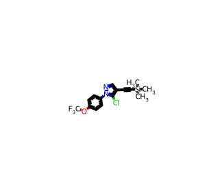 C[Si](C)(C)C#Cc1cnn(-c2ccc(OC(F)(F)F)cc2)c1Cl